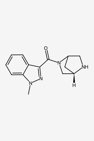 Cn1nc(C(=O)N2C[C@@H]3CC2CN3)c2ccccc21